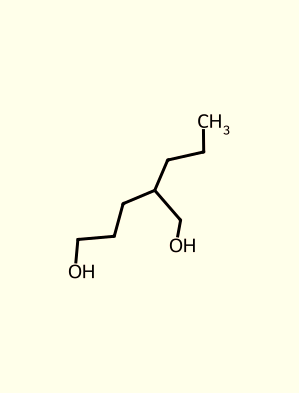 CCCC(CO)CCCO